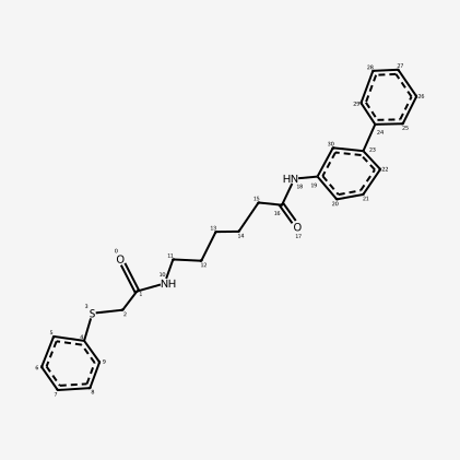 O=C(CSc1ccccc1)NCCCCCC(=O)Nc1cccc(-c2ccccc2)c1